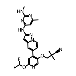 CNc1nc(C)cc(Nc2cc3cc(-c4cc(OC(F)F)ncc4OCC(C)(C)C#N)ccn3n2)n1